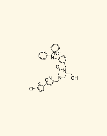 N#Cc1ccc(CN2C(=O)CN(Cc3cc(-c4ccc(Cl)s4)on3)CC2CO)cc1N=C(c1ccccc1)c1ccccc1